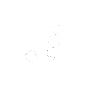 CC1(C)CC2(CCC3(CC2)OCCO3)CN1Cc1ccccc1